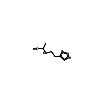 CC(C=O)NCCc1c[nH]nn1